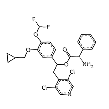 N[C@H](C(=O)OC(Cc1c(Cl)cncc1Cl)c1ccc(OC(F)F)c(OCC2CC2)c1)c1ccccc1